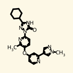 Cc1nc(-n2nc(C3CCCCC3)[nH]c2=O)ccc1Oc1ccnc(-c2cnn(C)c2)c1